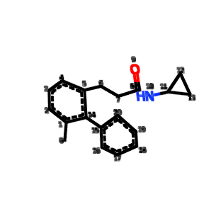 Cc1cccc(CCC(=O)NC2CC2)c1-c1ccccc1